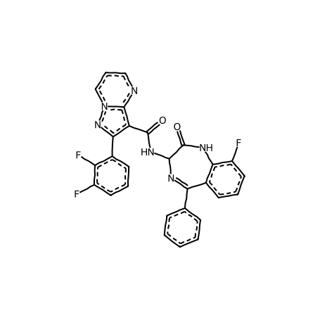 O=C(NC1N=C(c2ccccc2)c2cccc(F)c2NC1=O)c1c(-c2cccc(F)c2F)nn2cccnc12